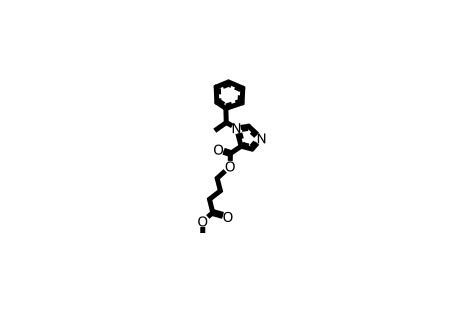 COC(=O)CCCOC(=O)c1cncn1C(C)c1ccccc1